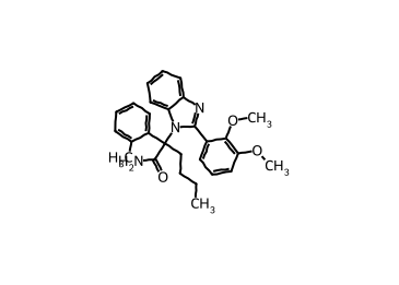 CCCCC(C(N)=O)(c1ccccc1C)n1c(-c2cccc(OC)c2OC)nc2ccccc21